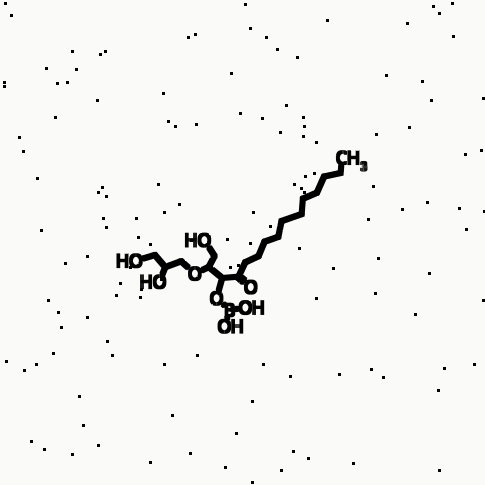 CCCCCCCCCCCC(=O)C(OB(O)O)C(CO)OCC(O)CO